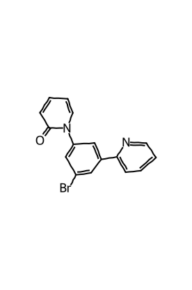 O=c1ccccn1-c1cc(Br)cc(-c2ccccn2)c1